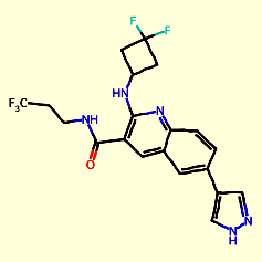 O=C(NCCC(F)(F)F)c1cc2cc(-c3cn[nH]c3)ccc2nc1NC1CC(F)(F)C1